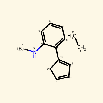 CC.CC(C)(C)Nc1ccccc1C1=CC=CC1